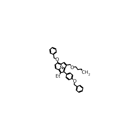 C=CCCOCc1cc2c(OCc3ccccc3)ccc3c(CC)c(-c4ccc(OCc5ccccc5)cc4)c1n23